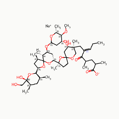 CC/C=C(\C[C@@]1(C)COC2(CC[C@@](C)([C@H]3C[C@H](O[C@@H]4C[C@@H](O)[C@H](OC)[C@@H](C)O4)[C@@H](C)C4(O[C@@H](C5O[C@@](O)(CO)[C@H](C)C[C@@H]5C)C[C@H]4C)O3)O2)C[C@@H]1O)C(=O)C(C)CC(C)C(=O)[O-].[Na+]